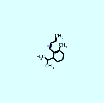 C=C/C=C\C1=C(C)CCCC1C(C)C